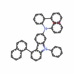 c1ccc(-c2ccccc2N(c2ccccc2)c2ccc3c4c(-c5cccc6ccccc56)cccc4n(-c4ccccc4)c3c2)cc1